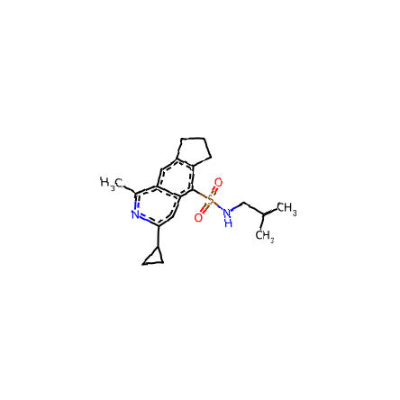 Cc1nc(C2CC2)cc2c(S(=O)(=O)NCC(C)C)c3c(cc12)CCC3